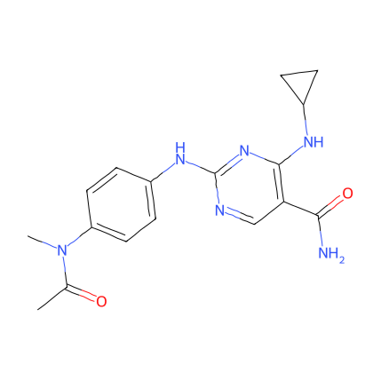 CC(=O)N(C)c1ccc(Nc2ncc(C(N)=O)c(NC3CC3)n2)cc1